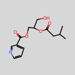 CC(C)CC(=O)OC(CO)COC(=O)c1cccnc1